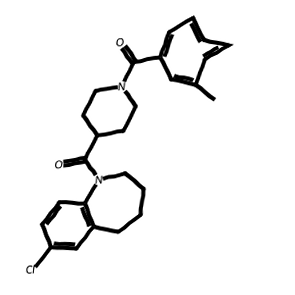 CC1=C/C(C(=O)N2CCC(C(=O)N3CCCCc4cc(Cl)ccc43)CC2)=C\C=C\C=C\1